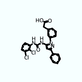 O=C(O)Cc1cccc(-n2nc(-c3ccccc3)cc2NC(=O)Nc2cccc(Cl)c2Cl)c1